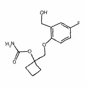 NC(=O)OC1(COc2ccc(F)cc2CO)CCC1